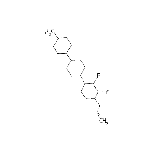 C=CCC1CCC(C2CCC(C3CCC(C)CC3)CC2)C(F)C1F